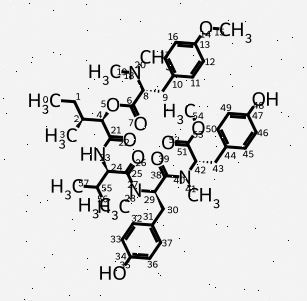 CC[C@H](C)[C@@H](OC(=O)[C@@H](Cc1ccc(OC)cc1)N(C)C)C(=O)N[C@@H](C(=O)N(C)[C@H](Cc1ccc(O)cc1)C(=O)N(C)[C@@H](Cc1ccc(O)cc1)C(=O)OC)C(C)C